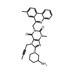 CC#CCn1c(N2CCCC(N)C2)nc2c1c(=O)n(Cc1nc3ccccc3c3ccc(C)cc13)c(=O)n2C